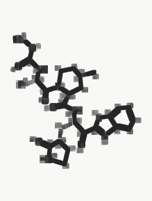 CC(C)[C@H](NC(=O)OC(C)(C)C)C(=O)N1CC[C@@H](C)C[C@H]1C(=O)N[C@@H](C[C@@H]1CCNC1=O)C(=O)c1nc2ccccc2s1